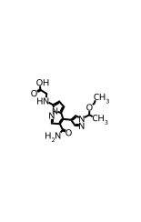 CCOC(C)n1cc(-c2c(C(N)=O)cnn3c(NCC(=O)O)ccc23)cn1